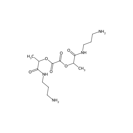 CC(OC(=O)C(=O)OC(C)C(=O)NCCCN)C(=O)NCCCN